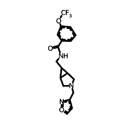 O=C(NCC1C2CN(Cc3ccon3)CC12)c1cccc(OC(F)(F)F)c1